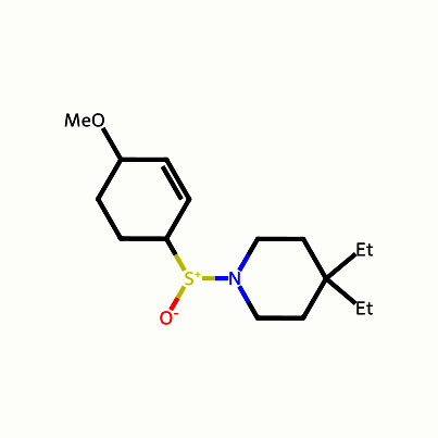 CCC1(CC)CCN([S+]([O-])C2C=CC(OC)CC2)CC1